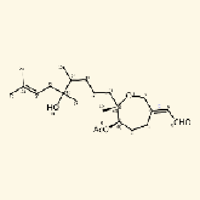 CC(=O)O[C@@H]1CC/C(=C\C=O)CO[C@@]1(C)CCCC(C)C(C)(O)CC=C(C)C